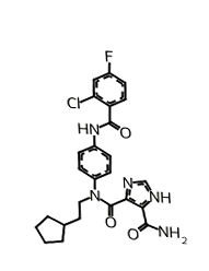 NC(=O)c1[nH]cnc1C(=O)N(CCC1CCCC1)c1ccc(NC(=O)c2ccc(F)cc2Cl)cc1